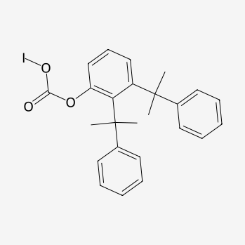 CC(C)(c1ccccc1)c1cccc(OC(=O)OI)c1C(C)(C)c1ccccc1